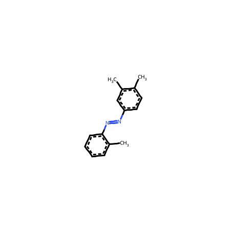 Cc1ccc(N=Nc2ccccc2C)cc1C